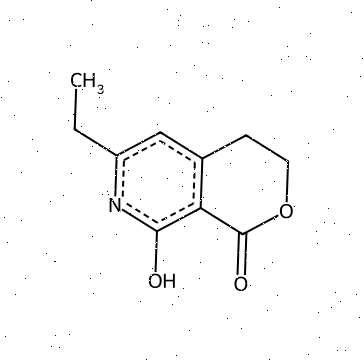 CCc1cc2c(c(O)n1)C(=O)OCC2